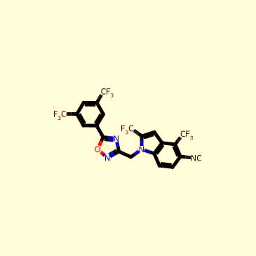 [C-]#[N+]c1ccc2c(cc(C(F)(F)F)n2Cc2noc(-c3cc(C(F)(F)F)cc(C(F)(F)F)c3)n2)c1C(F)(F)F